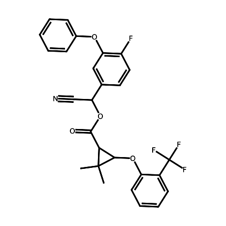 CC1(C)C(Oc2ccccc2C(F)(F)F)C1C(=O)OC(C#N)c1ccc(F)c(Oc2ccccc2)c1